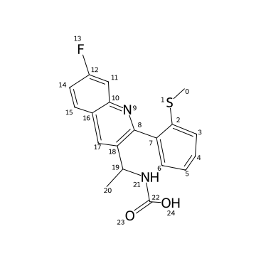 CSc1ccccc1-c1nc2cc(F)ccc2cc1C(C)NC(=O)O